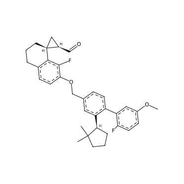 COc1ccc(F)c(-c2ccc(COc3ccc4c(c3F)[C@]3(CCC4)C[C@H]3C=O)cc2[C@H]2CCCC2(C)C)c1